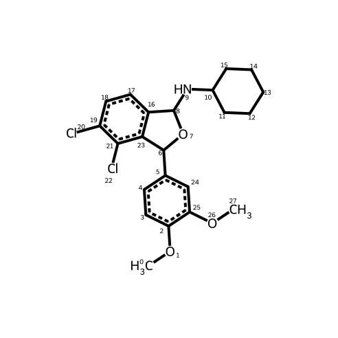 COc1ccc(C2OC(NC3CCCCC3)c3ccc(Cl)c(Cl)c32)cc1OC